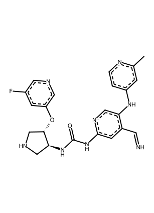 Cc1cc(Nc2cnc(NC(=O)N[C@H]3CNC[C@@H]3Oc3cncc(F)c3)cc2C=N)ccn1